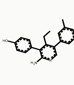 CCc1c(-c2cccc(C)c2)cnc(N)c1-c1ccc(O)cc1